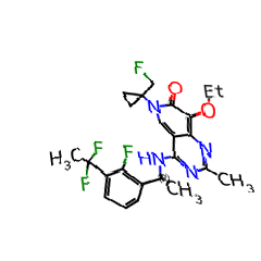 CCOc1c(=O)n(C2(CF)CC2)cc2c(N[C@H](C)c3cccc(C(C)(F)F)c3F)nc(C)nc12